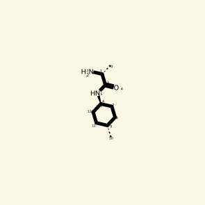 C[C@@H](N)C(=O)N[C@H]1CC[C@H](C)CC1